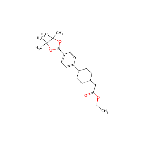 CCOC(=O)CC1CCC(c2ccc(B3OC(C)(C)C(C)(C)O3)cc2)CC1